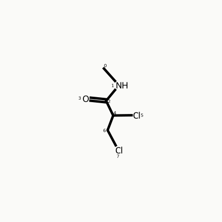 CNC(=O)C(Cl)CCl